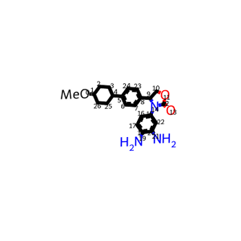 COC1CCC(c2ccc(C3COC(=O)N3c3ccc(N)c(N)c3)cc2)CC1